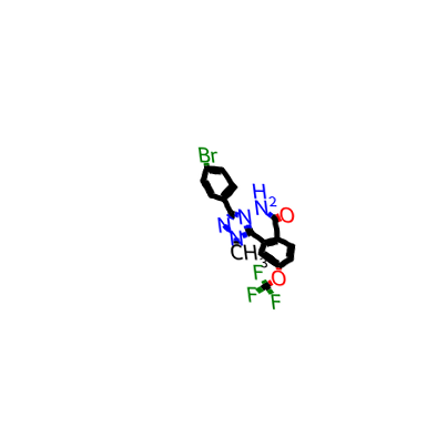 Cn1nc(-c2ccc(Br)cc2)nc1-c1cc(OC(F)(F)F)ccc1C(N)=O